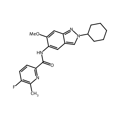 COc1cc2nn(C3CCCCC3)cc2cc1NC(=O)c1ccc(F)c(C)n1